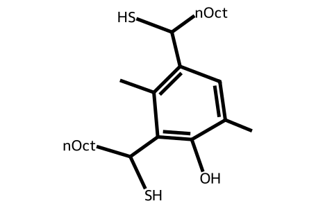 CCCCCCCCC(S)c1cc(C)c(O)c(C(S)CCCCCCCC)c1C